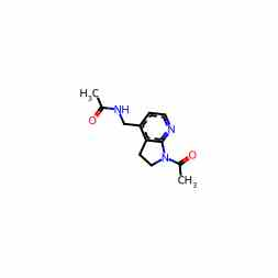 CC(=O)NCc1ccnc2c1CCN2C(C)=O